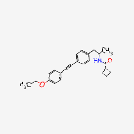 CCOc1ccc(C#Cc2ccc(CC(C)NC(=O)C3CCC3)cc2)cc1